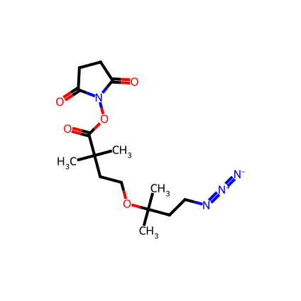 CC(C)(CCN=[N+]=[N-])OCCC(C)(C)C(=O)ON1C(=O)CCC1=O